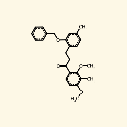 COc1ccc(C(=O)CCc2ccc(C)cc2OCc2ccccc2)c(OC)c1C